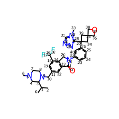 CC(C)C1CN(C)CCN1Cc1cc2c(c(C(F)F)c1)CN(c1cccc(C3(c4nncn4C)CC4(COC4)C3)c1)C2=O